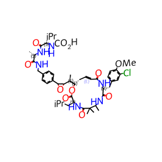 COc1ccc(C[C@H]2NC(=O)/C=C/C[C@@H]([C@H](C)C3OC3c3ccc(CNC(=O)[C@H](C)NC(=O)[C@@H](NC(=O)O)C(C)C)cc3)OC(=O)[C@H](CC(C)C)NC(=O)C(C)(C)C(C)NC2=O)cc1Cl